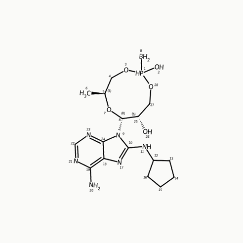 B[PH]1(O)OC[C@H](C)O[C@@H](n2c(NC3CCCC3)nc3c(N)ncnc32)[C@@H](O)CO1